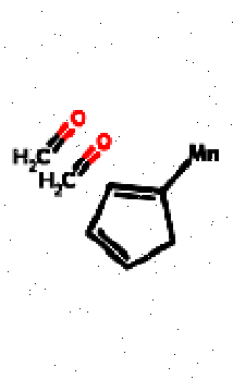 C=O.C=O.[Mn][C]1=CC=CC1